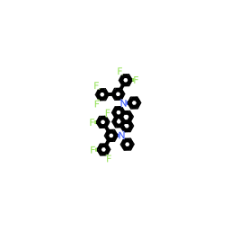 Fc1cc(F)cc(-c2cc(-c3cc(F)cc(F)c3)cc(N(c3ccccc3)c3ccc4ccc5c(N(c6ccccc6)c6cc(-c7cc(F)cc(F)c7)cc(-c7cc(F)cc(F)c7)c6)ccc6ccc3c4c65)c2)c1